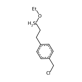 CCO[SiH2]CCc1ccc(CCl)cc1